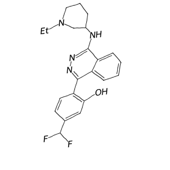 CCN1CCCC(Nc2nnc(-c3ccc(C(F)F)cc3O)c3ccccc23)C1